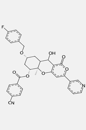 C[C@@]12Oc3cc(-c4cccnc4)oc(=O)c3C(O)C1C[C@@H](OCc1ccc(F)cc1)C[C@H]2OC(=O)c1ccc(C#N)cc1